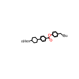 CCCCCCC1CCC(c2ccc(C(=O)Oc3ccc(CC(C)CC)cc3)cc2)CC1